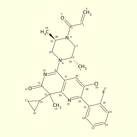 C=CC(=O)N1C[C@H](C)N(C2=NC(=O)C(C)(C3CC3)c3nc(-c4ccccc4F)c(Cl)cc32)C[C@H]1C